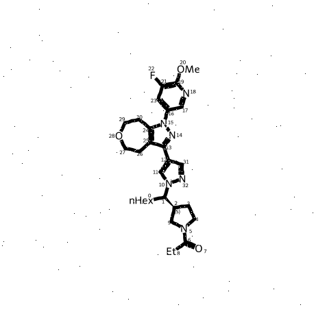 CCCCCCC([C@H]1CCN(C(=O)CC)C1)n1cc(-c2nn(-c3cnc(OC)c(F)c3)c3c2CCOCC3)cn1